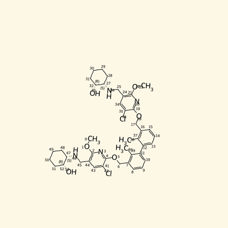 COc1nc(OCc2cccc(-c3cccc(COc4nc(OC)c(CN[C@H]5CCCC[C@H]5O)cc4Cl)c3C)c2C)c(Cl)cc1CN[C@H]1CCCC[C@H]1O